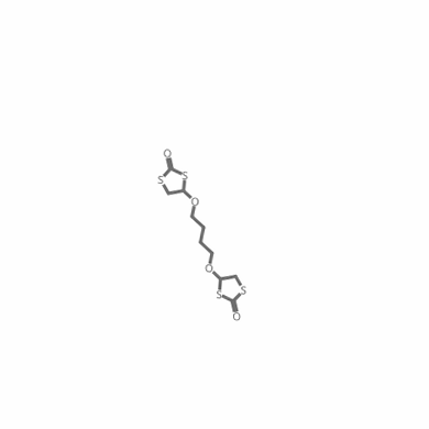 O=C1SCC(OCCCCOC2CSC(=O)S2)S1